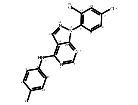 Cc1ccc(Nc2ncnc3c2cnn3-c2ccc(Cl)cc2Cl)cc1